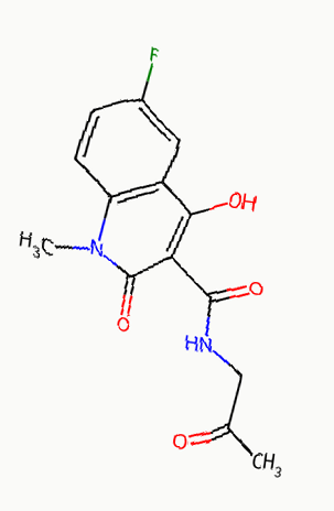 CC(=O)CNC(=O)c1c(O)c2cc(F)ccc2n(C)c1=O